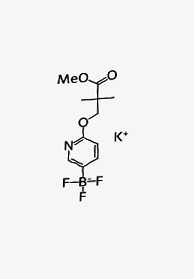 COC(=O)C(C)(C)COc1ccc([B-](F)(F)F)cn1.[K+]